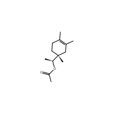 CC(=O)O[C@@H](C)[C@]1(C)CCC(C)=C(C)C1